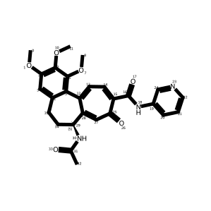 COc1cc2c(c(OC)c1OC)-c1ccc(C(=O)Nc3cccnc3)c(=O)cc1[C@@H](NC(C)=O)CC2